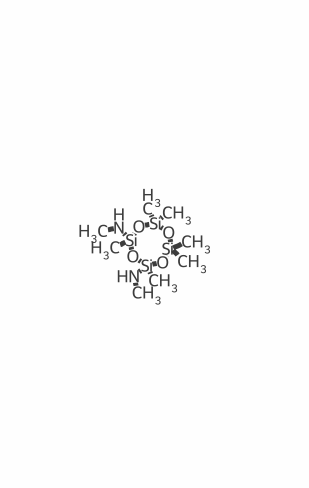 CN[Si]1(C)O[Si](C)(C)O[Si](C)(C)O[Si](C)(NC)O1